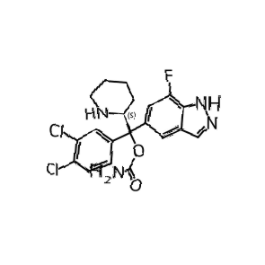 NC(=O)OC(c1ccc(Cl)c(Cl)c1)(c1cc(F)c2[nH]ncc2c1)[C@@H]1CCCCN1